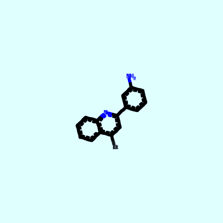 [CH2]Cc1cc(-c2cccc(N)c2)nc2ccccc12